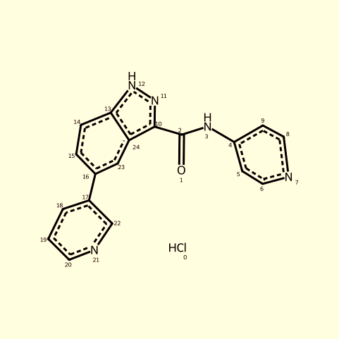 Cl.O=C(Nc1ccncc1)c1n[nH]c2ccc(-c3cccnc3)cc12